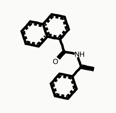 C=C(NC(=O)c1cccc2ccccc12)c1ccccc1